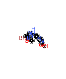 Cc1c(Br)c(=O)n(C2CCCC2)c2nc(Nc3ccc(N4CCN(CC(=O)O)CC4)cc3)ncc12